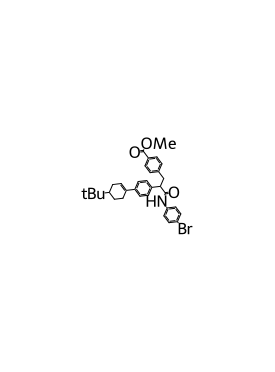 COC(=O)c1ccc(CC(C(=O)Nc2ccc(Br)cc2)c2ccc(C3=CCC(C(C)(C)C)CC3)cc2)cc1